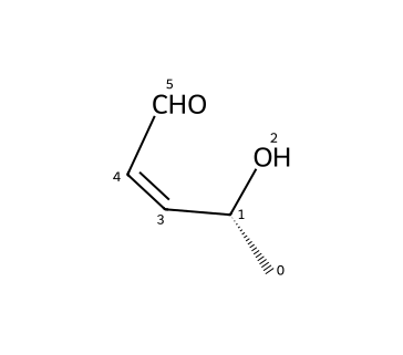 C[C@@H](O)/C=C\C=O